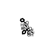 O=C(NC(=S)N[C@@]1(c2ccccc2F)CO[C@H](C(F)(F)F)C1CO)c1ccccc1